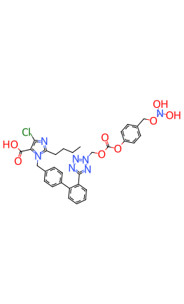 CCCCc1nc(Cl)c(C(=O)O)n1Cc1ccc(-c2ccccc2-c2nnn(COC(=O)Oc3ccc(CON(O)O)cc3)n2)cc1